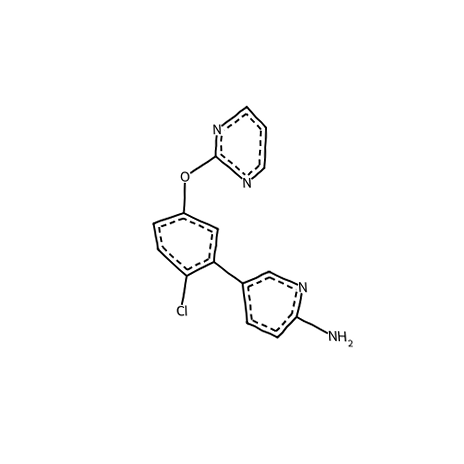 Nc1ccc(-c2cc(Oc3ncccn3)ccc2Cl)cn1